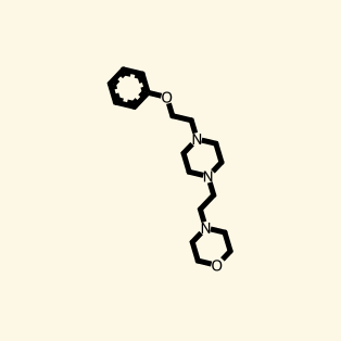 c1ccc(OCCN2CCN(CCN3CCOCC3)CC2)cc1